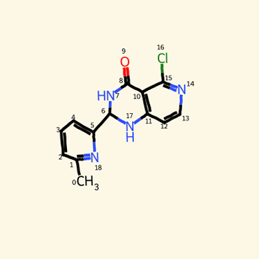 Cc1cccc(C2NC(=O)c3c(ccnc3Cl)N2)n1